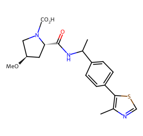 CO[C@@H]1C[C@@H](C(=O)NC(C)c2ccc(-c3scnc3C)cc2)N(C(=O)O)C1